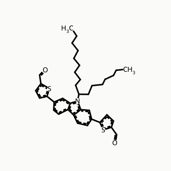 CCCCCCCCCC(CCCCCCC)n1c2cc(-c3ccc(C=O)s3)ccc2c2ccc(-c3ccc(C=O)s3)cc21